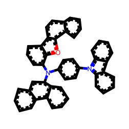 c1ccc2c(c1)cc(N(c1ccc(-n3c4ccccc4c4ccccc43)cc1)c1cccc3c1oc1c4ccccc4ccc31)c1ccccc12